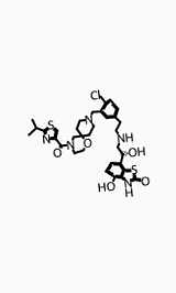 CC(C)c1nc(C(=O)N2CCOC3(CCN(Cc4cc(CCNC[C@H](O)c5ccc(O)c6[nH]c(=O)sc56)ccc4Cl)CC3)C2)cs1